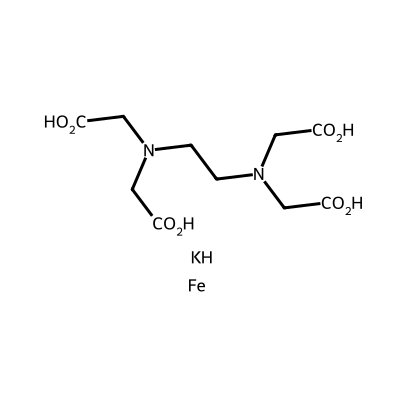 O=C(O)CN(CCN(CC(=O)O)CC(=O)O)CC(=O)O.[Fe].[KH]